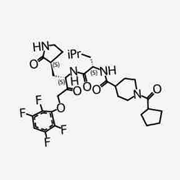 CC(C)C[C@H](NC(=O)C1CCN(C(=O)C2CCCC2)CC1)C(=O)N[C@@H](C[C@@H]1CCNC1=O)C(=O)COc1c(F)c(F)cc(F)c1F